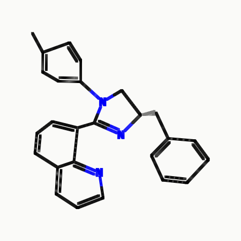 Cc1ccc(N2C[C@H](Cc3ccccc3)N=C2c2cccc3cccnc23)cc1